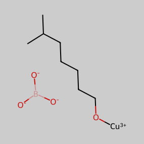 CC(C)CCCCC[O][Cu+3].[O-]B([O-])[O-]